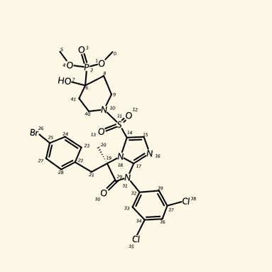 COP(=O)(OC)C1(O)CCN(S(=O)(=O)c2cnc3n2[C@](C)(Cc2ccc(Br)cc2)C(=O)N3c2cc(Cl)cc(Cl)c2)CC1